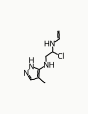 C=CNC(Cl)CNc1[nH]ncc1C